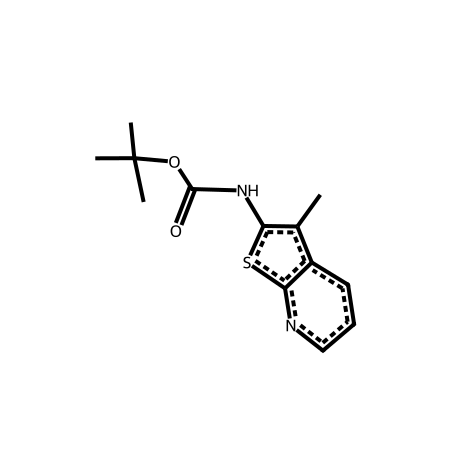 Cc1c(NC(=O)OC(C)(C)C)sc2ncccc12